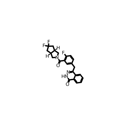 O=C(c1cc(Cc2n[nH]c(=O)c3ccccc23)ccc1F)N1C[C@@H]2CC(F)(F)C[C@@H]2C1